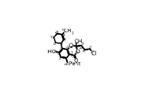 CCCCCc1cc(O)c(C2C=C(C)CCC2)c2c1C(=O)OC(C)(CCCCl)O2